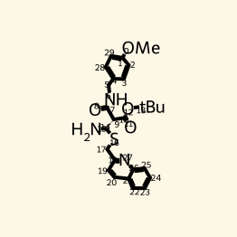 COc1ccc(CNC(=O)[C@H](C(=O)OC(C)(C)C)C(N)SCc2ccc3ccccc3n2)cc1